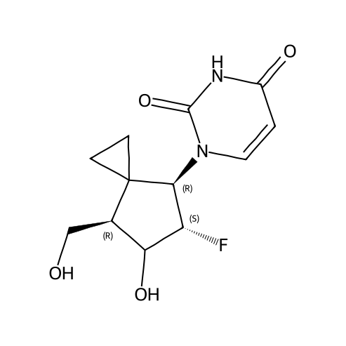 O=c1ccn([C@H]2[C@H](F)C(O)[C@@H](CO)C23CC3)c(=O)[nH]1